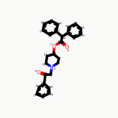 O=C(CN1CCC(OC(=O)C(c2ccccc2)c2ccccc2)CC1)c1ccccc1